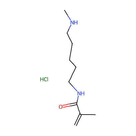 C=C(C)C(=O)NCCCCCNC.Cl